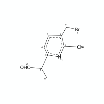 CC(C=O)c1ccc(CBr)c(Cl)n1